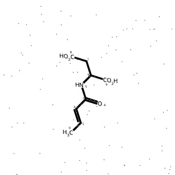 CC=CC(=O)NC(CC(=O)O)C(=O)O